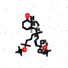 CC(C)(CCC[C@@](C)(CC=CC(O[Si](C)(C)C)(C(F)(F)F)C(F)(F)F)[C@H]1CC[C@H]2C(=O)CCC[C@]12C)O[Si](C)(C)C